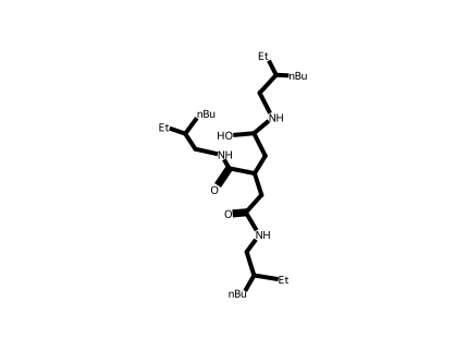 CCCCC(CC)CNC(=O)CC(CC(O)NCC(CC)CCCC)C(=O)NCC(CC)CCCC